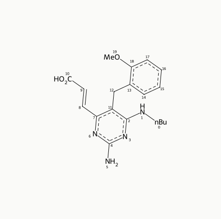 CCCCNc1nc(N)nc(/C=C/C(=O)O)c1Cc1ccccc1OC